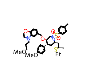 CCS[C@H](C)C[C@H]1C[C@H](c2ccc(OC)cc2)[C@@H](OCc2ccc3c(c2)N(CCCOC)CCO3)CN1S(=O)(=O)c1ccc(C)cc1